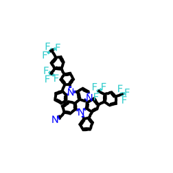 N#Cc1ccc(-c2cnccc2-n2c3ccccc3c3cc(-c4ccc(C(F)(F)F)cc4C(F)(F)F)ccc32)c(-n2c3ccccc3c3cc(-c4ccc(C(F)(F)F)cc4C(F)(F)F)ccc32)c1